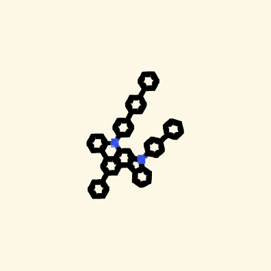 c1ccc(-c2ccc(-c3ccc(N(c4ccc5c6ccccc6n(-c6ccc(-c7ccccc7)cc6)c5c4)c4ccccc4-c4cccc(-c5ccccc5)c4)cc3)cc2)cc1